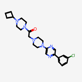 O=C(CN1CCN(c2cnc(-c3cccc(Cl)c3)cn2)CC1)N1CCN(C2CCC2)CC1